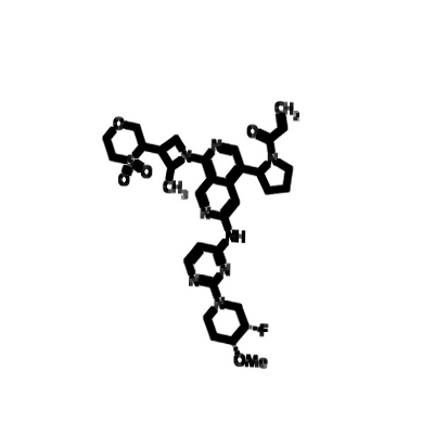 C=CC(=O)N1CCCC1c1cnc(N2CC(C3COCCS3(=O)=O)C2C)c2cnc(Nc3ccnc(N4CC[C@@H](OC)[C@@H](F)C4)n3)cc12